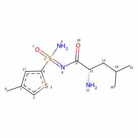 Cc1csc(S(N)(=O)=NC(=O)[C@@H](N)CC(C)C)c1